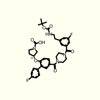 CC(C)(C)OC(=O)NCCc1cc(F)cc(C(=O)N2CCN(C(=O)c3ccc(O[C@H]4CCN(C(=O)O)C4)c(-c4ccc(F)cc4)c3)CC2)c1